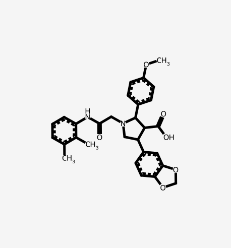 COc1ccc(C2C(C(=O)O)C(c3ccc4c(c3)OCO4)CN2CC(=O)Nc2cccc(C)c2C)cc1